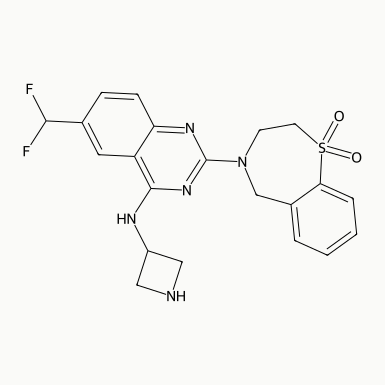 O=S1(=O)CCN(c2nc(NC3CNC3)c3cc(C(F)F)ccc3n2)Cc2ccccc21